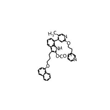 Cc1cnc(OCCc2cccnc2)cc1-c1cccc2c(CCCOc3cccc4ccccc34)c(OC(=O)O)[nH]c12